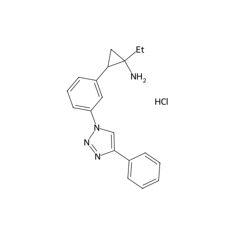 CCC1(N)CC1c1cccc(-n2cc(-c3ccccc3)nn2)c1.Cl